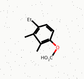 CCc1ccc(OC(=O)O)c(C)c1C